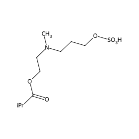 CC(C)C(=O)OCCN(C)CCCOS(=O)(=O)O